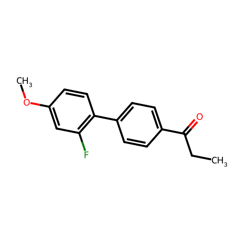 CCC(=O)c1ccc(-c2ccc(OC)cc2F)cc1